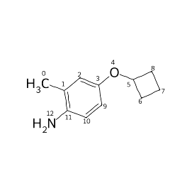 Cc1cc(OC2CCC2)ccc1N